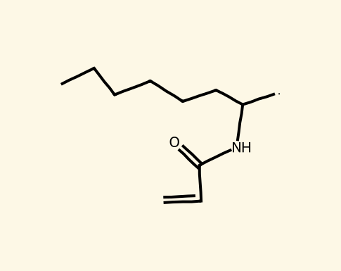 [CH2]C(CCCCCC)NC(=O)C=C